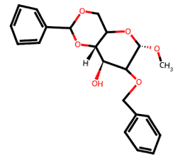 CO[C@H]1OC2COC(c3ccccc3)O[C@H]2[C@H](O)C1OCc1ccccc1